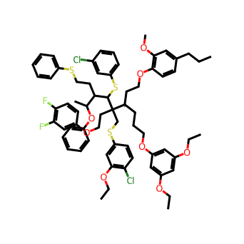 CCCc1ccc(OCC[C](CCCOc2cc(OCC)cc(OCC)c2)C(CCOc2ccc(F)c(F)c2)(CSc2ccc(Cl)c(OCC)c2)C(Sc2cccc(Cl)c2)C(CCSc2ccccc2)C(C)Oc2ccccc2)c(OC)c1